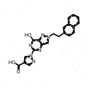 O=C(O)c1cnn(-c2nc(O)c3nn(CCc4ccc5ccccc5c4)cc3n2)c1